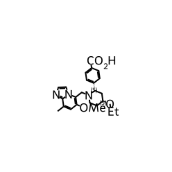 CCO[C@H]1CCN(Cc2c(OC)cc(C)c3nccn23)[C@H](c2ccc(C(=O)O)cc2)C1